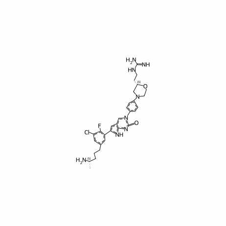 C[C@H](N)CCCc1cc(Cl)c(F)c(-c2cc3cn(-c4ccc(N5CCO[C@@H](CCNC(=N)N)C5)cc4)c(=O)nc3[nH]2)c1